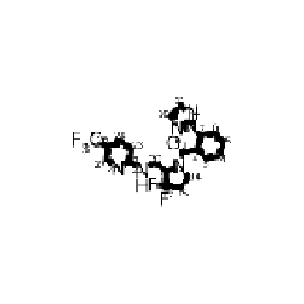 O=C(c1ccccc1-n1nccn1)N1CCC(F)(F)C1CNc1ccc(C(F)(F)F)cn1